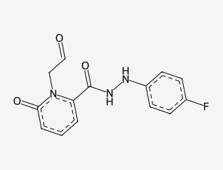 O=CCn1c(C(=O)NNc2ccc(F)cc2)cccc1=O